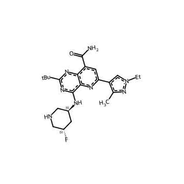 CCn1cc(-c2cc(C(N)=O)c3nc(C(C)(C)C)nc(N[C@@H]4CNC[C@@H](F)C4)c3n2)c(C)n1